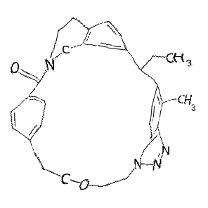 CCC1c2ccc3c(c2)CN(CC3)C(=O)c2ccc(cc2)CCOCCn2nnc3c(C)c1ccc32